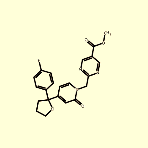 COC(=O)c1cnc(Cn2ccc(C3(c4ccc(F)cc4)CCCO3)cc2=O)nc1